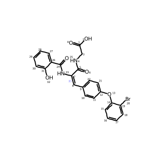 O=C(O)CNC(=O)/C(=C\c1ccc(Oc2ccccc2Br)cc1)NC(=O)c1ccccc1O